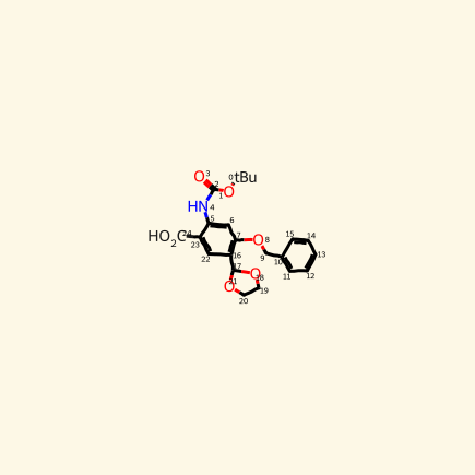 CC(C)(C)OC(=O)Nc1cc(OCc2ccccc2)c(C2OCCO2)cc1C(=O)O